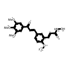 COc1cc(C(=O)C=Cc2ccc(OC(F)(F)F)c(C=CC(=O)NO)c2)cc(OC)c1OC